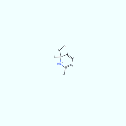 CCC1(C)C=CC=C(C)N1